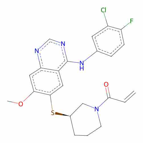 C=CC(=O)N1CCC[C@@H](Sc2cc3c(Nc4ccc(F)c(Cl)c4)ncnc3cc2OC)C1